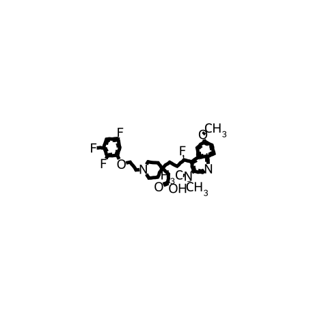 COc1ccc2ncc(N(C)C)c([C@@H](F)CCC3(CC(=O)O)CCN(CCOc4cc(F)cc(F)c4F)CC3)c2c1